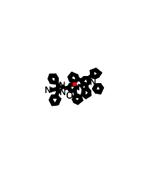 N#Cc1c(-c2ccccc2)nc(-c2ccc(-n3c4ccccc4c4c3c(-c3ccccc3)cc3c5ccccc5n(-c5ccccc5)c34)c3c2oc2ccccc23)nc1-c1ccccc1